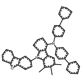 Cc1cc2c3c(N(c4ccc(-c5ccccc5)cc4)c4ccc(-c5ccccc5)cc4)cccc3n(-c3ccc4oc5ccccc5c4c3)c2c(C)c1C